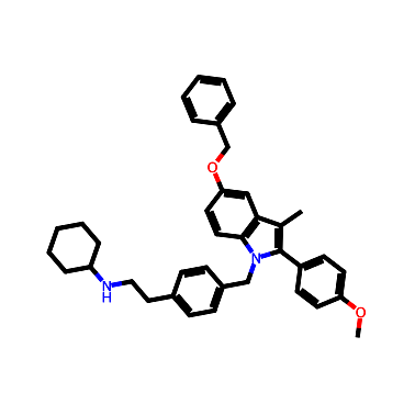 COc1ccc(-c2c(C)c3cc(OCc4ccccc4)ccc3n2Cc2ccc(CCNC3CCCCC3)cc2)cc1